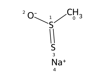 CS([O-])=S.[Na+]